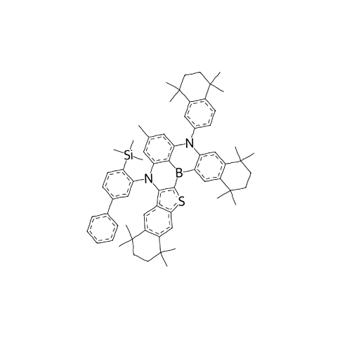 Cc1cc2c3c(c1)N(c1cc(-c4ccccc4)ccc1[Si](C)(C)C)c1c(sc4cc5c(cc14)C(C)(C)CCC5(C)C)B3c1cc3c(cc1N2c1ccc2c(c1)C(C)(C)CCC2(C)C)C(C)(C)CCC3(C)C